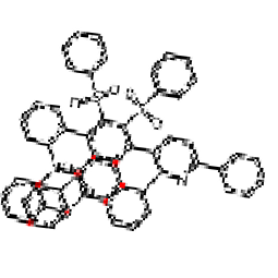 O=S(=O)(c1ccccc1)c1cc(-c2ccc(-c3ccccc3)nc2-c2ccccc2)c(S(=O)(=O)c2ccccc2)c(S(=O)(=O)c2ccccc2)c1-c1ccccc1N1c2ccccc2Oc2ccccc21